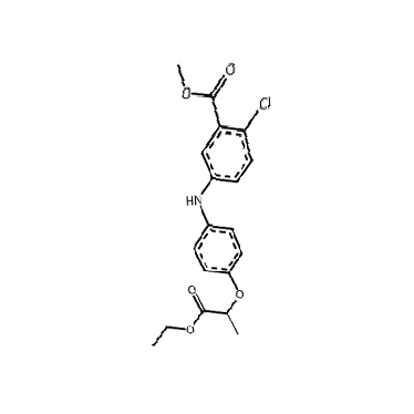 CCOC(=O)C(C)Oc1ccc(Nc2ccc(Cl)c(C(=O)OC)c2)cc1